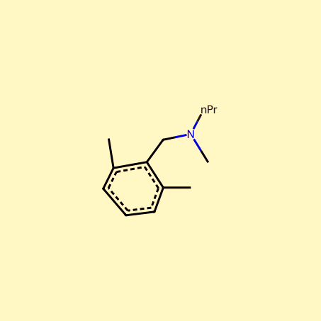 CCCN(C)Cc1c(C)cccc1C